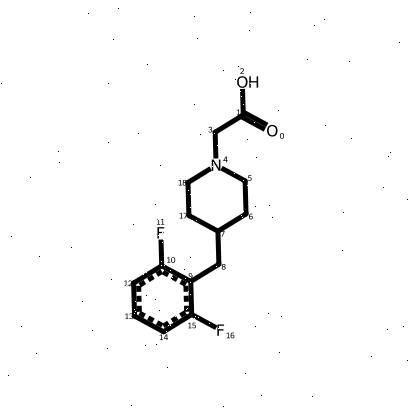 O=C(O)CN1CCC(Cc2c(F)cccc2F)CC1